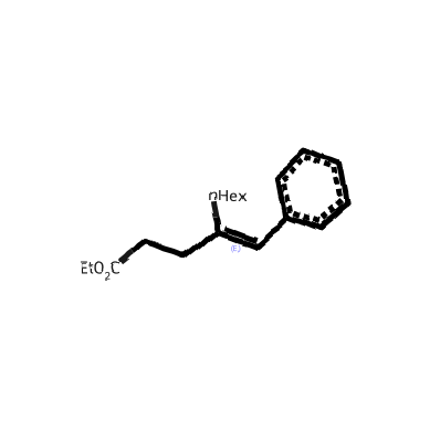 CCCCCC/C(=C\c1ccccc1)CCC(=O)OCC